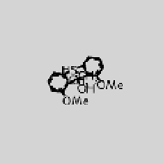 COc1cccc2c1C1(O)c3c(OC)cccc3[SH]21(C)C